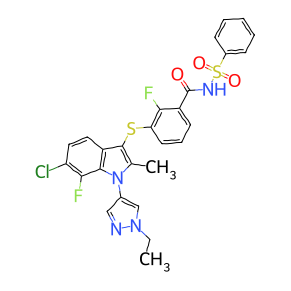 CCn1cc(-n2c(C)c(Sc3cccc(C(=O)NS(=O)(=O)c4ccccc4)c3F)c3ccc(Cl)c(F)c32)cn1